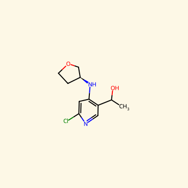 CC(O)c1cnc(Cl)cc1N[C@H]1CCOC1